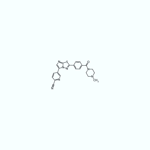 CN1CCN(C(=O)c2ccc(-c3nn4c(-c5ccc(C#N)nc5)cnc4s3)cc2)CC1